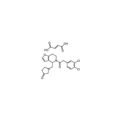 O=C(O)C=CC(=O)O.O=C1CCN(CC2c3ccoc3CCN2C(=O)Cc2ccc(Cl)c(Cl)c2)C1